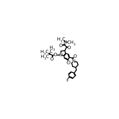 CN(C)C(=O)C(=O)C1CN(COC(=O)C(C)(C)C)c2cc(Cl)c(C(=O)N3CCC(Cc4ccc(F)cc4)CC3)cc21